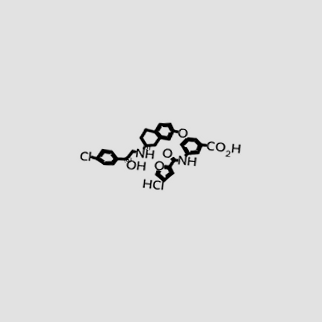 Cl.O=C(O)c1cc(NC(=O)c2ccco2)cc(Oc2ccc3c(c2)C[C@@H](NC[C@@H](O)c2ccc(Cl)cc2)CC3)c1